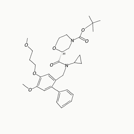 COCCCOc1cc(CN(C(=O)[C@H]2CN(C(=O)OC(C)(C)C)CCO2)C2CC2)c(-c2ccccc2)cc1OC